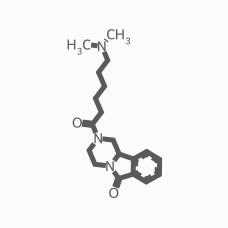 CN(C)CCCCCC(=O)N1CCN2C(=O)c3ccccc3C2C1